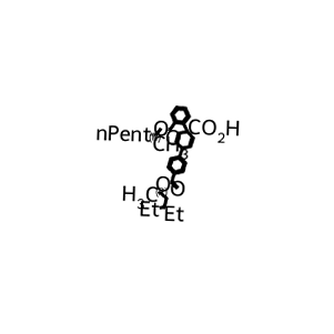 CCCCC[C@@H](C)OC(=O)c1ccccc1C1(C(=O)O)C=CC(c2ccc(C(=O)O[C@H](C)CC(CC)CC)cc2)C=C1